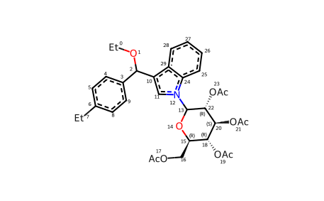 CCOC(c1ccc(CC)cc1)c1cn(C2O[C@H](COC(C)=O)[C@@H](OC(C)=O)[C@H](OC(C)=O)[C@H]2OC(C)=O)c2ccccc12